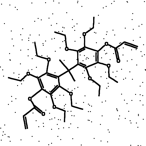 C=CC(=O)Oc1c(OCC)c(OCC)c(C(C)(C)c2c(OCC)c(OCC)c(OC(=O)C=C)c(OCC)c2OCC)c(OCC)c1OCC